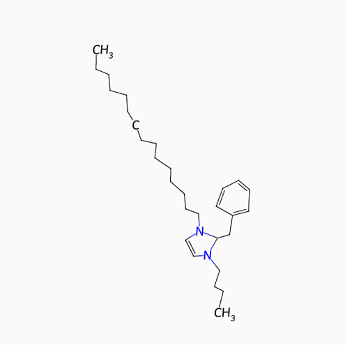 CCCCCCCCCCCCCCCN1C=CN(CCCC)C1Cc1ccccc1